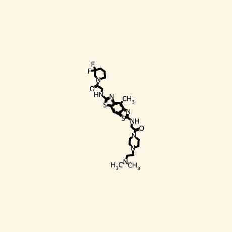 Cc1c2nc(NCC(=O)N3CCN(CCN(C)C)CC3)sc2cc2sc(NCC(=O)N3CCCC(F)(F)C3)nc12